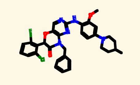 COc1cc(N2CCC(C)CC2)ccc1Nc1ncc2c(n1)N(Cc1ccccc1)C(=O)C(c1c(F)cccc1Cl)O2